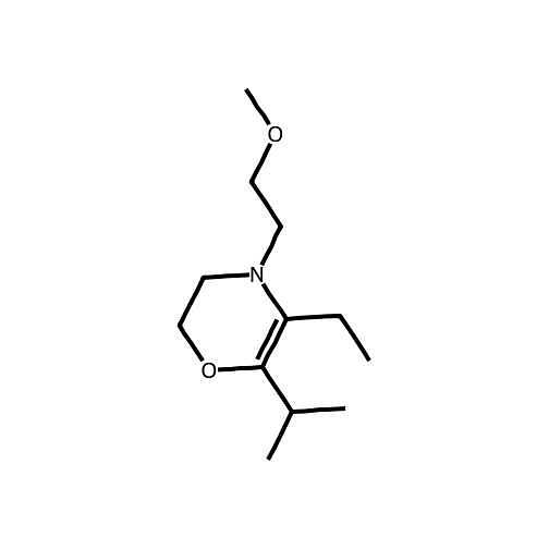 CCC1=C(C(C)C)OCCN1CCOC